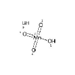 [LiH].[O]=[Mn](=[O])(=[O])[OH]